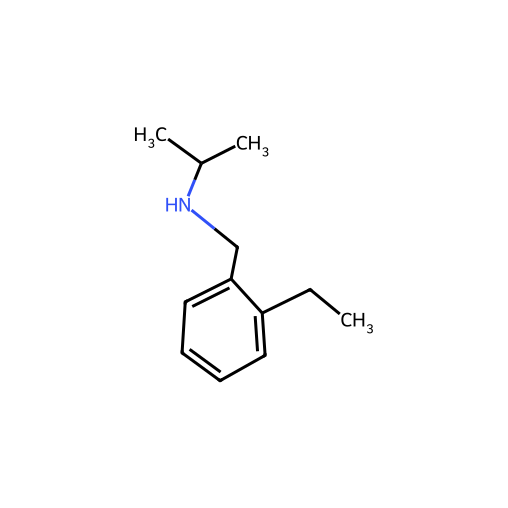 CCc1ccccc1CNC(C)C